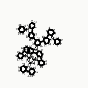 c1ccc(-n2c3ccccc3c3cc(-c4cc(-c5ccc6c(c5)c5ccccc5n6-c5ccccc5)cc(-n5c6ccccc6c6c5ccc5c7ccccc7n(-c7nc(-n8c9ccccc9c9ccccc98)nc(-n8c9ccccc9c9ccccc98)n7)c56)c4)ccc32)cc1